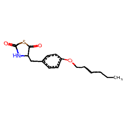 CCCCCCOc1ccc(CC2NC(=O)SC2=O)cc1